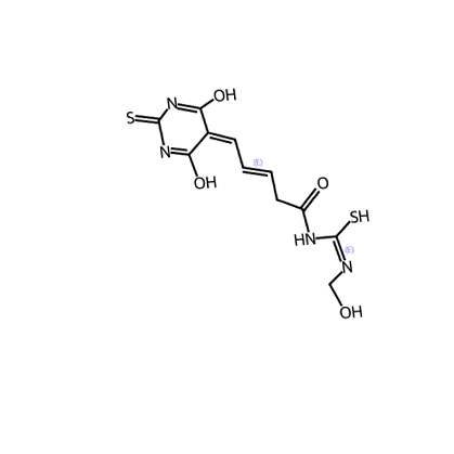 O=C(C/C=C/C=C1C(O)=NC(=S)N=C1O)N/C(S)=N\CO